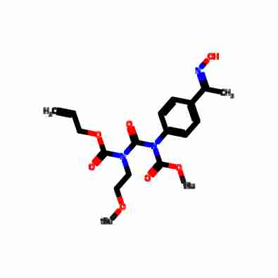 C=CCOC(=O)N(CCOC(C)(C)C)C(=O)N(C(=O)OC(C)(C)C)c1ccc(C(C)=NO)cc1